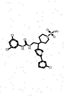 CCCS(=O)(=O)N1CCC(C(CNC(=O)Nc2cc(Cl)cc(Cl)c2)c2ccc(-c3cccc(Cl)c3)cc2)CC1